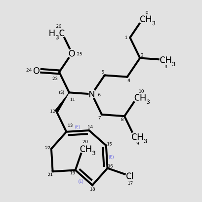 CCC(C)CCN(CC(C)C)[C@@H](C/C1=C/C=C(Cl)\C=C(/C)CC1)C(=O)OC